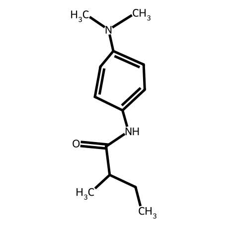 CCC(C)C(=O)Nc1ccc(N(C)C)cc1